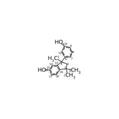 CC1(C)CC(C)(c2cccc(O)c2)c2cc(O)ccc21